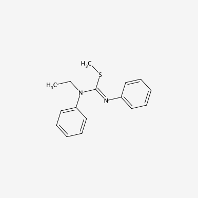 CCN(C(=Nc1ccccc1)SC)c1ccccc1